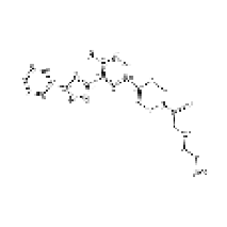 COCCOCC(=O)N1CC=C(c2cnc(N)c(-c3nnc(-c4ccccc4)o3)n2)CC1